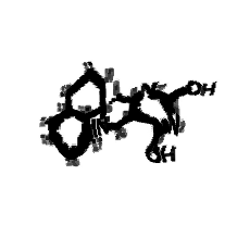 Oc1nc(O)c2c(n1)C[C@]1(CCCc3ccccc31)NC2